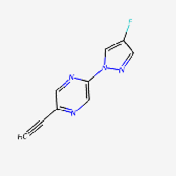 C#Cc1cnc(-n2cc(F)cn2)cn1